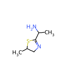 CC1CN=C(C(C)N)S1